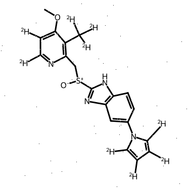 [2H]c1nc(C[S+]([O-])c2nc3cc(-n4c([2H])c([2H])c([2H])c4[2H])ccc3[nH]2)c(C([2H])([2H])[2H])c(OC)c1[2H]